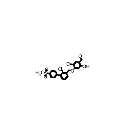 CS(=O)(=O)c1ccc(-c2cccc(COc3cc(O)c(C=O)cc3Cl)c2Cl)cc1